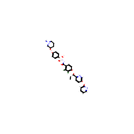 CC[C@@H](Oc1ccc(C(=O)NS(=O)(=O)c2ccc(OC3CCCN(C)C3)cc2)c(F)c1F)c1ccc(Oc2ccccn2)cn1